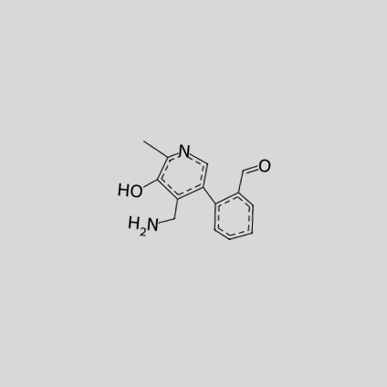 Cc1ncc(-c2ccccc2C=O)c(CN)c1O